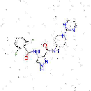 O=C(NC1CCN(c2ncccn2)CC1)c1n[nH]cc1NC(=O)c1c(F)cccc1F